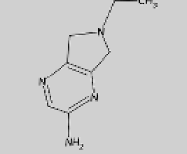 CCN1Cc2ncc(N)nc2C1